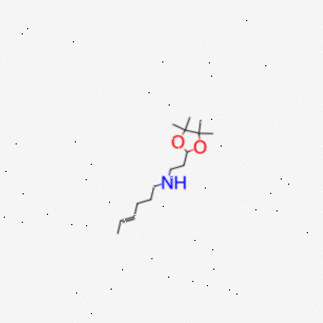 CC=CCCCNCCC1OC(C)(C)C(C)(C)O1